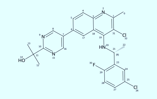 Cc1nc2ccc(-c3cnc(C(C)(C)O)nc3)cc2c(N[C@H](C)c2cc(Cl)ccc2F)c1Cl